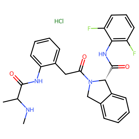 CNC(C)C(=O)Nc1ccccc1CC(=O)N1Cc2ccccc2[C@H]1C(=O)Nc1c(F)cccc1F.Cl